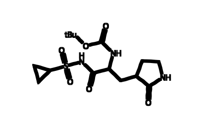 CC(C)(C)OC(=O)NC(CC1CCNC1=O)C(=O)NS(=O)(=O)C1CC1